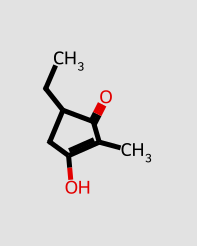 CCC1CC(O)=C(C)C1=O